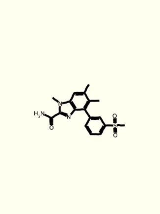 Cc1cc2c(nc(C(N)=O)n2C)c(-c2cccc(S(C)(=O)=O)c2)c1C